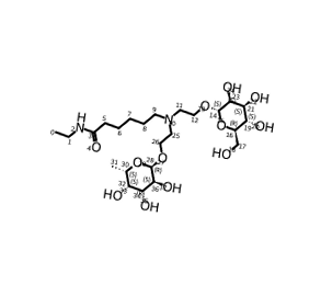 CCNC(=O)CCCCCN(CCO[C@H]1O[C@H](CO)[C@@H](O)[C@H](O)[C@@H]1O)CCO[C@@H]1O[C@@H](C)[C@@H](O)[C@@H](O)[C@@H]1O